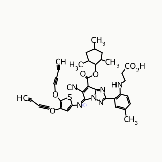 [C-]#[N+]C1=C(C(=O)OC2C(C)CC(C)CC2C)c2nc(-c3cc(C)ccc3NCCC(=O)O)nn2/C1=N/c1cc(OC#CC#C)c(OC#CC#C)s1